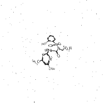 COc1cc(C)nc(NC(=O)N(CS(=O)(=O)O)S(=O)(=O)c2ccccc2O)n1